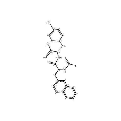 CC(=O)N[C@@H](Cc1ccc2ccccc2c1)C(=O)N[C@@H](CC1C=CC(O)=CC1)C(=O)O